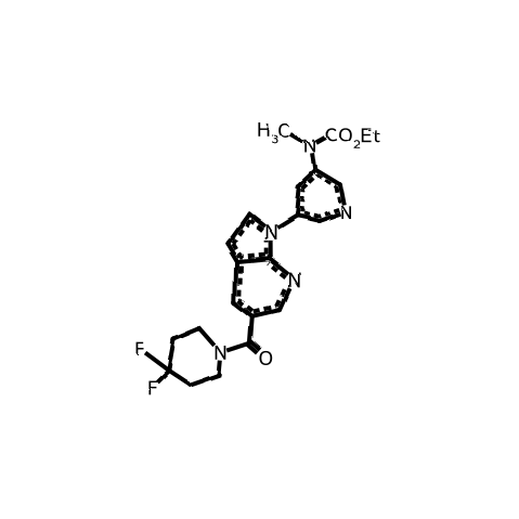 CCOC(=O)N(C)c1cncc(-n2ccc3cc(C(=O)N4CCC(F)(F)CC4)cnc32)c1